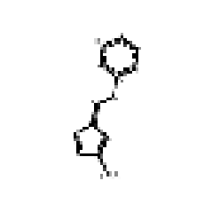 CC(C)(C)C1=CC(=CCc2ccccc2)[C]=C1